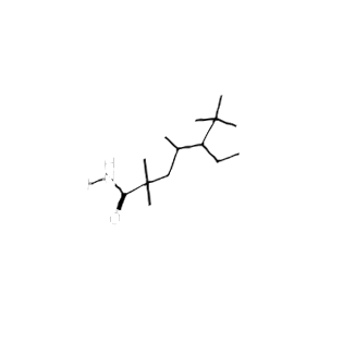 CCC(C(C)CC(C)(C)C(=O)NI)C(C)(C)C